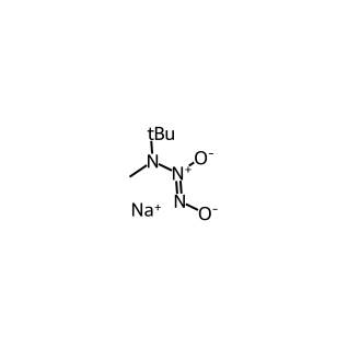 CN([N+]([O-])=N[O-])C(C)(C)C.[Na+]